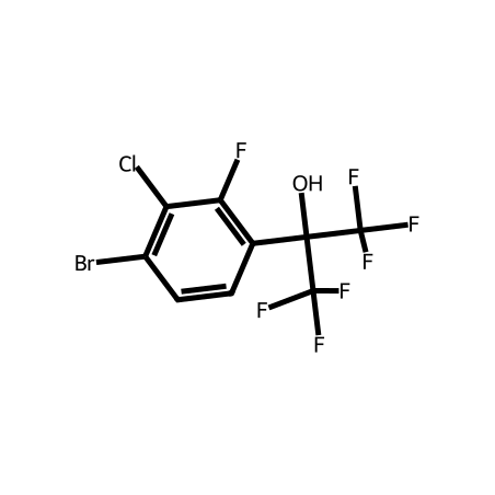 OC(c1ccc(Br)c(Cl)c1F)(C(F)(F)F)C(F)(F)F